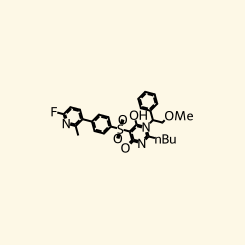 CCCCc1nc(=O)c(S(=O)(=O)c2ccc(-c3ccc(F)nc3C)cc2)c(O)n1C(COC)c1ccccc1